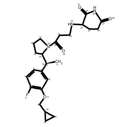 C[C@@H](c1ccc(F)c(OCC2CC2)c1)C1CCCN1C(=O)CCNC1CCC(=O)NC1=O